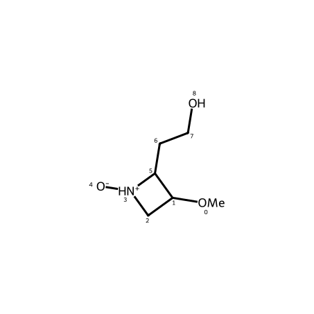 COC1C[NH+]([O-])C1CCO